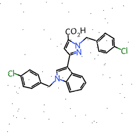 O=C(O)c1cc(-c2cn(Cc3ccc(Cl)cc3)c3ccccc23)nn1Cc1ccc(Cl)cc1